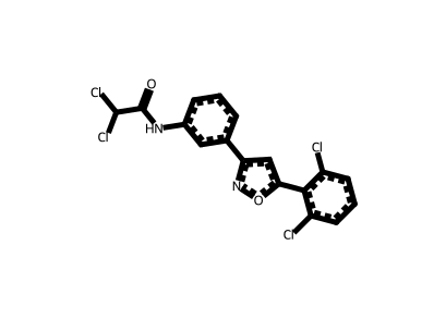 O=C(Nc1cccc(-c2cc(-c3c(Cl)cccc3Cl)on2)c1)C(Cl)Cl